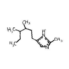 CCC(C)C(C)CCc1cnc(C)[nH]1